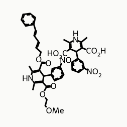 CC1=C(C(=O)O)C(c2cccc([N+](=O)[O-])c2)C(C(=O)O)=C(C)N1.COCCOC(=O)C1=C(C)NC(C)=C(C(=O)OC/C=C/C=C/c2ccccc2)C1c1cccc([N+](=O)[O-])c1